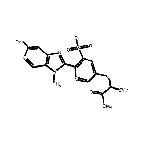 CCS(=O)(=O)c1cc(OC(SC)C(=O)OC)cnc1-c1nc2cc(C(F)(F)F)ncc2n1C